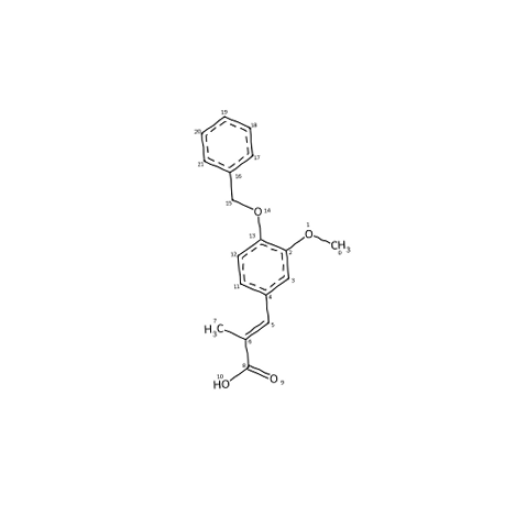 COc1cc(/C=C(\C)C(=O)O)ccc1OCc1ccccc1